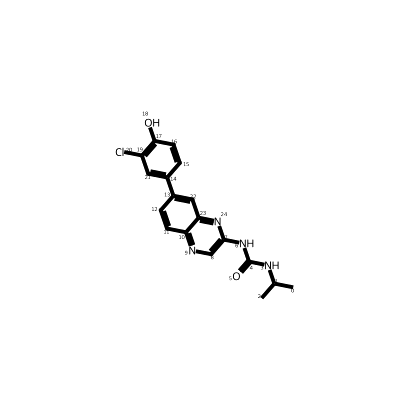 CC(C)NC(=O)Nc1cnc2ccc(-c3ccc(O)c(Cl)c3)cc2n1